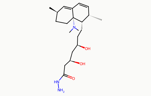 C[C@H]1C=C2C=C[C@H](C)[C@H](CC[C@@H](O)C[C@@H](O)CC(=O)NN)[C@@]2(N(C)C)CC1